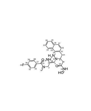 CN(C/C(N)=C/N(N)C(CC(=O)NO)Cc1ccc2ccccc2c1)C(=O)c1ccc(F)cc1